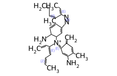 C=C\C=C/C(=C\C)/N=N\C1=CC([N+](/C(C=C)=C/C=C\C)=C2/C=C(N)C(C)=CC2=C)C(N)C=C1C